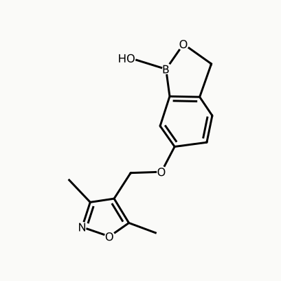 Cc1noc(C)c1COc1ccc2c(c1)B(O)OC2